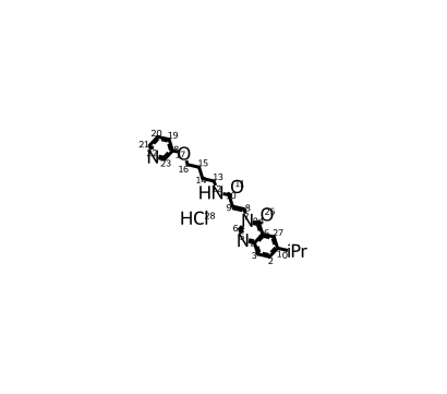 CC(C)c1ccc2ncn(C=CC(=O)NCCCCOc3cccnc3)c(=O)c2c1.Cl